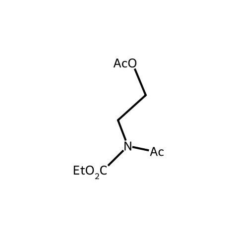 CCOC(=O)N(CCOC(C)=O)C(C)=O